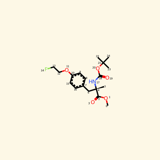 COC(=O)[C@](C)(Cc1ccc(OCCF)cc1)NC(=O)OC(C)(C)C